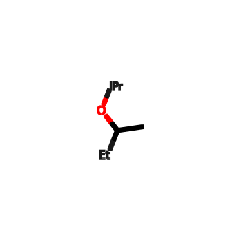 CCC(C)OC(C)C